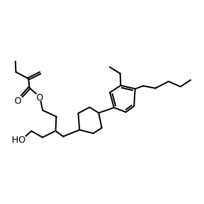 C=C(CC)C(=O)OCCC(CCO)CC1CCC(c2ccc(CCCCC)c(CC)c2)CC1